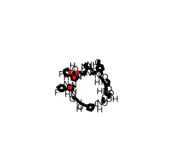 COc1ccc(C[C@@H]2NC(=O)[C@H](Cc3cnc[nH]3)NC(=O)[C@H](CC(=O)O)NC(=O)[C@H](Cc3c[nH]c4ccc(F)cc34)NC(=O)[C@H](Cc3c[nH]c4ccc(F)cc34)NC(=O)[C@@H](C)NC(=O)Cc3cccc(c3)CNC(=O)CC(C(=O)O)NC(=O)[C@]3(C)CCCN3C2=O)cc1